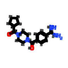 N=C(N)c1ccc(C(=O)N2CCN(C(=O)C3CCCC3)CC2)cc1